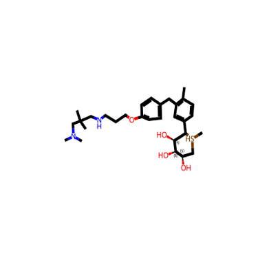 Cc1ccc(C2[C@H](O)[C@H](O)[C@H](O)C[SH]2C)cc1Cc1ccc(OCCCNCC(C)(C)CN(C)C)cc1